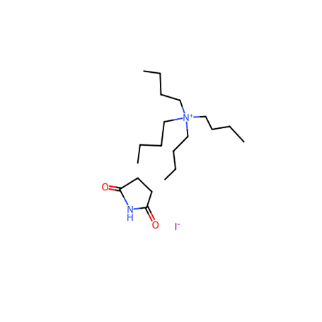 CCCC[N+](CCCC)(CCCC)CCCC.O=C1CCC(=O)N1.[I-]